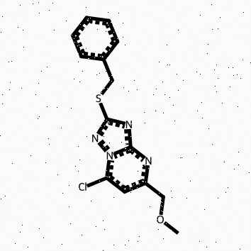 COCc1cc(Cl)n2nc(SCc3ccccc3)nc2n1